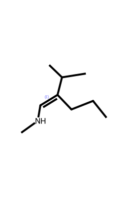 CCC/C(=C\NC)C(C)C